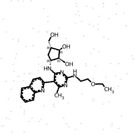 CCOCCNc1nc(C)c(-c2ccc3ccccc3n2)c(N[C@@H]2C[C@H](CO)[C@@H](O)[C@H]2O)n1